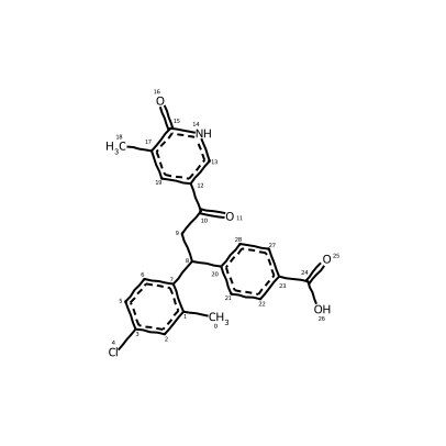 Cc1cc(Cl)ccc1C(CC(=O)c1c[nH]c(=O)c(C)c1)c1ccc(C(=O)O)cc1